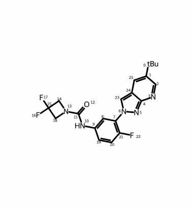 CC(C)(C)c1cnc2nn(-c3cc(NC(=O)N4CC(F)(F)C4)ccc3F)cc2c1